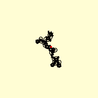 CCC1O[C@@H](O[C@@H]2C(CC)O[C@@H](O[C@H]3C(COC(=O)c4ccccc4)O[C@@H](OC4CCC5(C)C(CCC6C5CCC5(C)C6CC(=O)C5[C@H](C)C(=O)CC[C@H](C)CO[C@@H]5OC(CC)[C@@H](C)[C@H](OC(=O)c6ccccc6)C5OC(=O)c5ccccc5)C4)C(C)[C@H]3C)C(C)[C@H]2C)C(C)[C@@H](C)[C@@H]1C